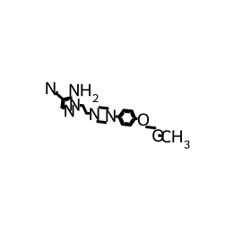 COCCOc1ccc(N2CCN(CCn3ncc(C#N)c3N)CC2)cc1